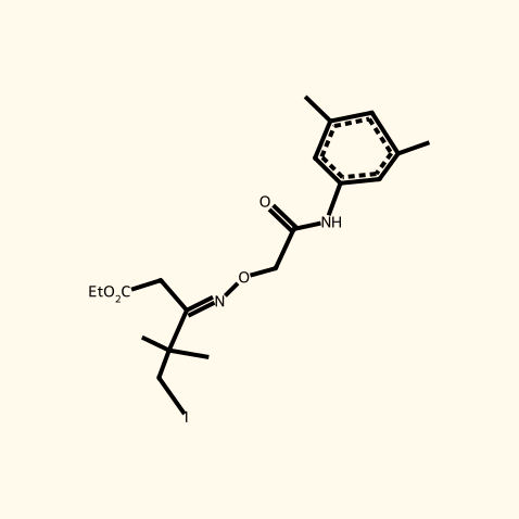 CCOC(=O)C/C(=N\OCC(=O)Nc1cc(C)cc(C)c1)C(C)(C)CI